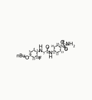 CCCCOc1ccc(NCC(=O)Nc2ccc(S(N)(=O)=O)cc2)c(F)c1